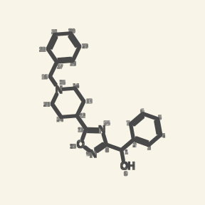 OC(c1ccccc1)c1noc(C2CCN(Cc3ccccc3)CC2)n1